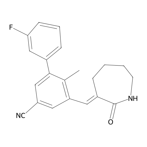 Cc1c(/C=C2\CCCCNC2=O)cc(C#N)cc1-c1cccc(F)c1